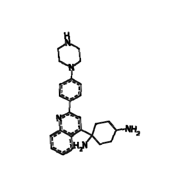 NC1CCC(N)(c2cc(-c3ccc(N4CCNCC4)cc3)nc3ccccc23)CC1